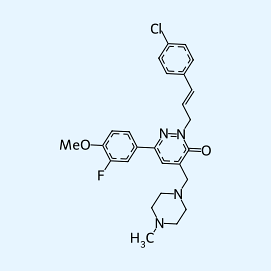 COc1ccc(-c2cc(CN3CCN(C)CC3)c(=O)n(CC=Cc3ccc(Cl)cc3)n2)cc1F